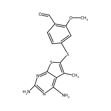 COc1cc(Sc2sc3nc(N)nc(N)c3c2C)ccc1C=O